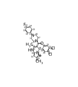 CC1=C(C(=O)N2CCN(c3ccc(F)cc3)CC2)C(c2ccc(Cl)c(Cl)c2)n2nc(C)cc2N1